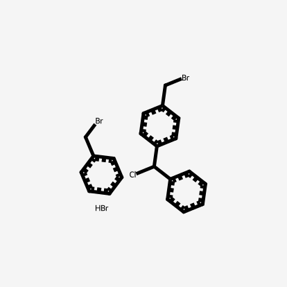 Br.BrCc1ccccc1.ClC(c1ccccc1)c1ccc(CBr)cc1